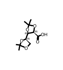 CC1(C)OC[C@H]([C@H]2OC(C)(C)O[C@H]2C(=O)O)O1